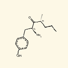 CCC[C@@H](C)C(=O)[C@@H](N)Cc1ccc(O)cc1